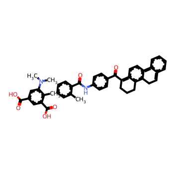 Cc1c(C(=O)O)cc(C(=O)O)cc1N(C)C.Cc1ccccc1C(=O)Nc1ccc(C(=O)C2=c3ccc4c(c3CCC2)CC=c2ccccc2=4)cc1